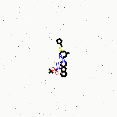 C=C1C=C(SCC2CCCC2)C=NC(N2CCC3(CC2)Cc2ccccc2[C@H]3NC(=O)OC(C)(C)C)=C1